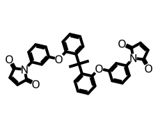 CC(C)(c1ccccc1Oc1cccc(N2C(=O)C=CC2=O)c1)c1ccccc1Oc1cccc(N2C(=O)C=CC2=O)c1